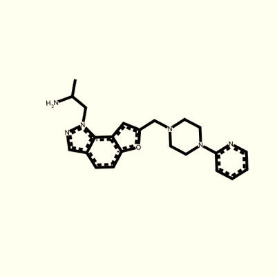 CC(N)Cn1ncc2ccc3oc(CN4CCN(c5ccccn5)CC4)cc3c21